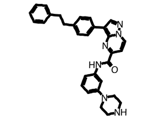 O=C(Nc1cccc(N2CCNCC2)c1)c1ccn2ncc(-c3ccc(CCc4ccccc4)cc3)c2n1